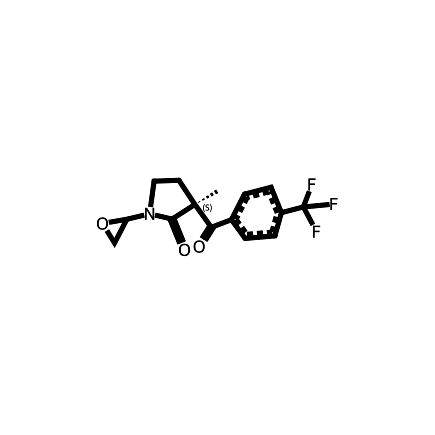 C[C@@]1(C(=O)c2ccc(C(F)(F)F)cc2)CCN(C2CO2)C1=O